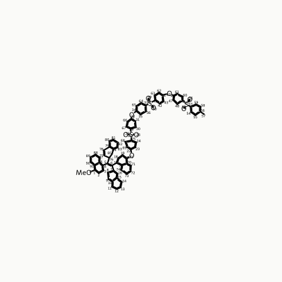 COc1ccc(/C(=C(\c2ccc3ccccc3c2)c2ccc(Oc3ccc(S(=O)(=O)c4ccc(Oc5ccc(S(=O)(=O)c6ccc(Oc7ccc(S(=O)(=O)c8ccc(C)cc8)cc7)cc6)cc5)cc4)cc3)c3ccccc23)C2C=Cc3ccccc3C2)c2ccccc12